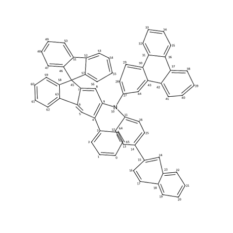 c1ccc(-c2cc3c(cc2N(c2ccc(-c4ccc5ccccc5c4)cc2)c2ccc4c5ccccc5c5ccccc5c4c2)C2(c4ccccc4-c4ccccc42)c2ccccc2-3)cc1